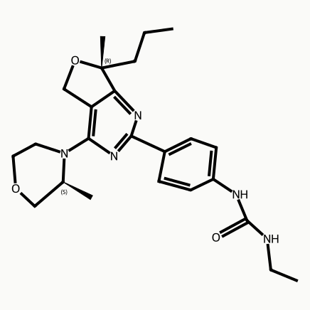 CCC[C@@]1(C)OCc2c(N3CCOC[C@@H]3C)nc(-c3ccc(NC(=O)NCC)cc3)nc21